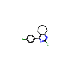 Fc1ccc(-c2nc(Cl)nc3c2CCCCC3)cc1